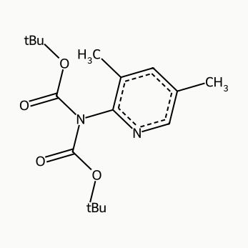 Cc1cnc(N(C(=O)OC(C)(C)C)C(=O)OC(C)(C)C)c(C)c1